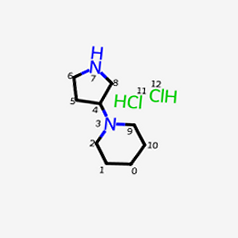 C1CCN(C2CCNC2)CC1.Cl.Cl